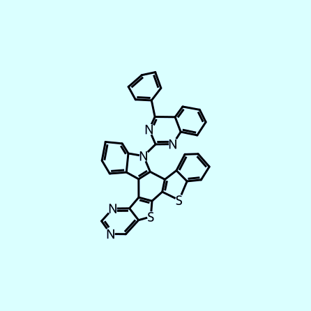 c1ccc(-c2nc(-n3c4ccccc4c4c5c6ncncc6sc5c5sc6ccccc6c5c43)nc3ccccc23)cc1